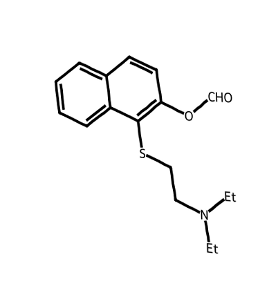 CCN(CC)CCSc1c(OC=O)ccc2ccccc12